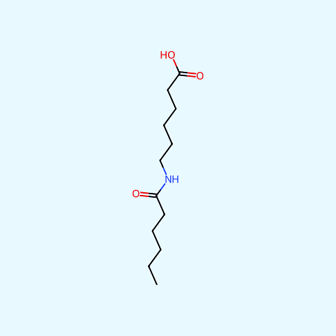 CCCCCC(=O)NCCCCCC(=O)O